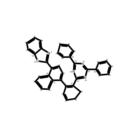 C1=CC(c2ccc(-c3nc4ccccc4o3)c3ccccc23)=C(c2nc(-c3ccccc3)nc(-c3ccccc3)n2)CC1